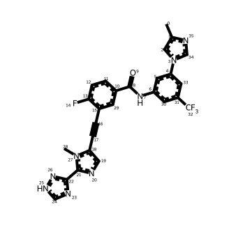 Cc1cn(-c2cc(NC(=O)c3ccc(F)c(C#Cc4cnc(-c5nc[nH]n5)n4C)c3)cc(C(F)(F)F)c2)cn1